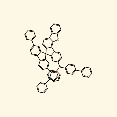 c1ccc(-c2ccc(N(c3ccc(-c4ccccc4)cc3)c3ccc4c(c3)C3(c5cc(-c6ccccc6)ccc5-c5ccc(-c6ccccc6)cc53)c3ccc5c(oc6ccccc65)c3-4)cc2)cc1